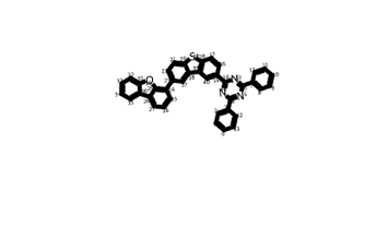 c1ccc(-c2nc(-c3ccccc3)nc(-c3ccc4sc5ccc(-c6cccc7c6oc6ccccc67)cc5c4c3)n2)cc1